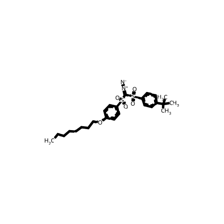 CCCCCCCCOc1ccc(S(=O)(=O)C(=[N+]=[N-])S(=O)(=O)c2ccc(C(C)(C)C)cc2)cc1